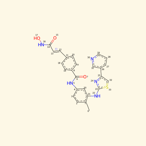 Cc1ccc(NC(=O)c2ccc(/C=C/C(=O)NO)cc2)cc1Nc1nc(-c2cccnc2)cs1